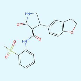 CS(=O)(=O)c1ccccc1NC(=O)[C@H]1C(=O)NC[C@@H]1c1ccc2c(c1)CCO2